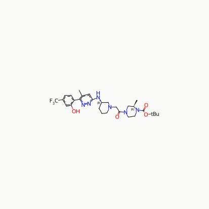 Cc1cc(N[C@@H]2CCCN(CC(=O)N3CCN(C(=O)OC(C)(C)C)[C@H](C)C3)C2)nnc1-c1ccc(C(F)(F)F)cc1O